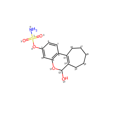 NS(=O)(=O)Oc1ccc2c(c1)OC(O)C1=C2CCCCC1